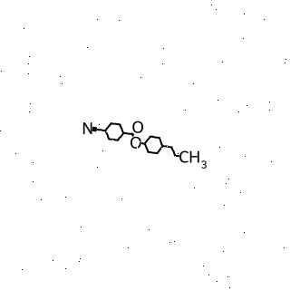 CCCC1CCC(OC(=O)C2CCC(C#N)CC2)CC1